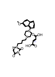 COc1ccc2cccc(N3CCN(CCCCn4ncc(=O)n(C)c4=O)CC3)c2c1.O=C(O)/C=C/C(=O)O